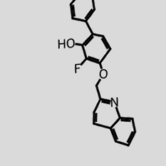 Oc1c(-c2ccccc2)ccc(OCc2ccc3ccccc3n2)c1F